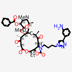 CC[C@H]1OC(=O)[C@H](C)C(=O)[C@H](C)[C@@H](O[C@@H]2O[C@H](C)C[C@H](NC)[C@H]2OC(=O)c2ccccc2)[C@@](C)(OC)C[C@@H](C)C(=O)[C@H](C)[C@H]2N(CCCCn3cc(-c4cccc(N)c4)nn3)C(=O)O[C@]12C